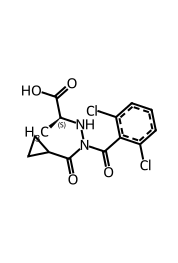 C[C@H](NN(C(=O)c1c(Cl)cccc1Cl)C(=O)C1CC1)C(=O)O